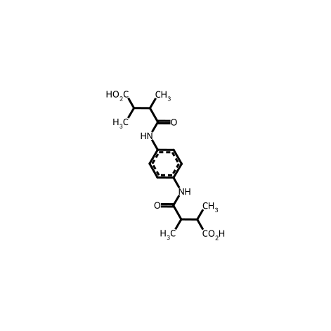 CC(C(=O)O)C(C)C(=O)Nc1ccc(NC(=O)C(C)C(C)C(=O)O)cc1